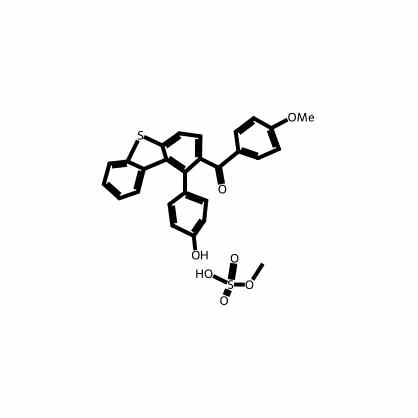 COS(=O)(=O)O.COc1ccc(C(=O)c2ccc3sc4ccccc4c3c2-c2ccc(O)cc2)cc1